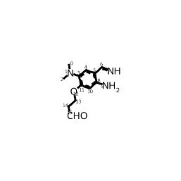 CN(C)c1cc(C=N)c(N)cc1OCCC=O